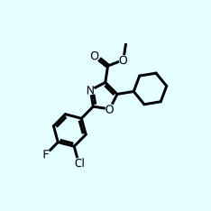 COC(=O)c1nc(-c2ccc(F)c(Cl)c2)oc1C1CCCCC1